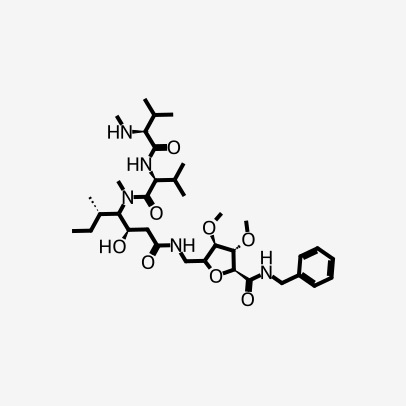 CC[C@H](C)C([C@H](O)CC(=O)NCC1O[C@H](C(=O)NCc2ccccc2)[C@@H](OC)[C@@H]1OC)N(C)C(=O)[C@@H](NC(=O)[C@@H](NC)C(C)C)C(C)C